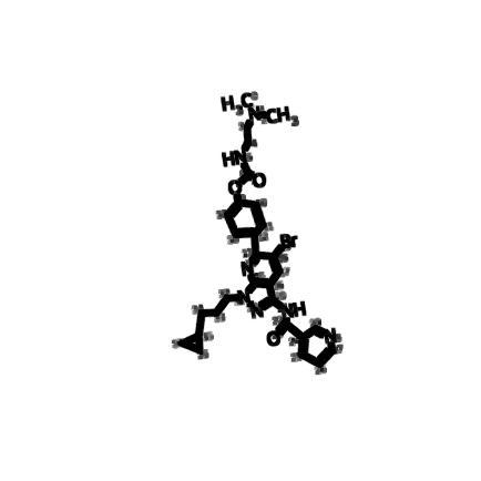 CN(C)CCNC(=O)Oc1ccc(-c2nc3c(cc2Br)c(NC(=O)c2cccnc2)nn3CCCC2CC2)cc1